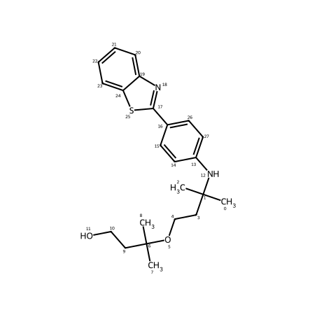 CC(C)(CCOC(C)(C)CCO)Nc1ccc(-c2nc3ccccc3s2)cc1